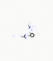 CC(C)C/C(N)=C/N(N)Cc1cc(C#N)ccc1-c1ncc(CCN)cn1